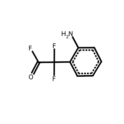 Nc1ccccc1C(F)(F)C(=O)F